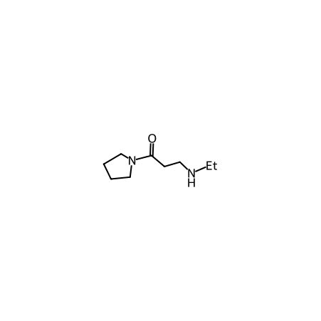 CCNCCC(=O)N1CCCC1